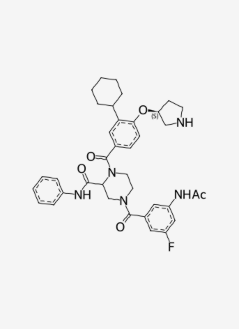 CC(=O)Nc1cc(F)cc(C(=O)N2CCN(C(=O)c3ccc(O[C@H]4CCNC4)c(C4CCCCC4)c3)C(C(=O)Nc3ccccc3)C2)c1